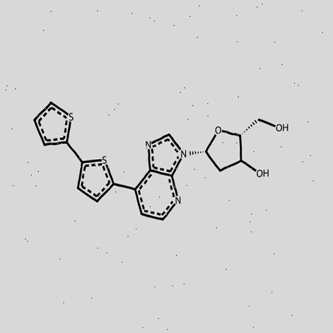 OC[C@H]1O[C@@H](n2cnc3c(-c4ccc(-c5cccs5)s4)ccnc32)CC1O